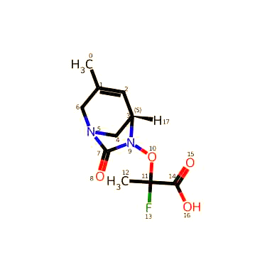 CC1=C[C@H]2CN(C1)C(=O)N2OC(C)(F)C(=O)O